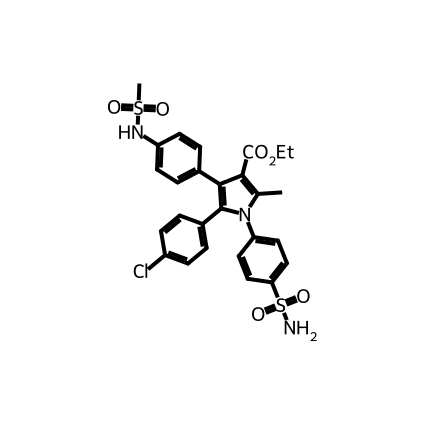 CCOC(=O)c1c(-c2ccc(NS(C)(=O)=O)cc2)c(-c2ccc(Cl)cc2)n(-c2ccc(S(N)(=O)=O)cc2)c1C